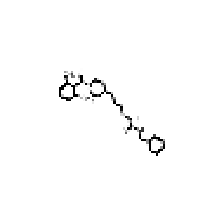 Cc1cccc(C)c1C(=O)N1CCC(CCCCNC(=O)NCc2ccccc2)CC1